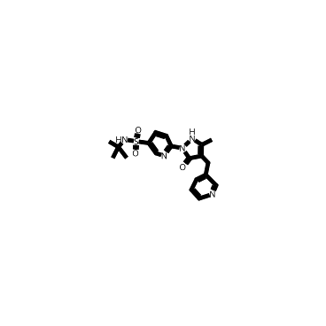 Cc1[nH]n(-c2ccc(S(=O)(=O)NC(C)(C)C)cn2)c(=O)c1Cc1cccnc1